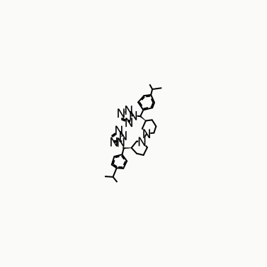 CC(C)c1ccc(C([C@@H]2CCCN(N3CCC[C@H](C(c4ccc(C(C)C)cc4)n4ncnn4)C3)C2)n2ncnn2)cc1